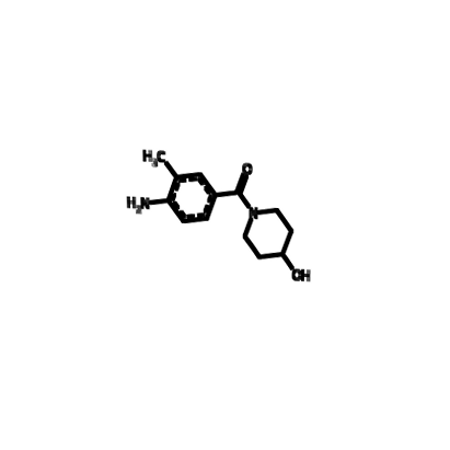 Cc1cc(C(=O)N2CCC(O)CC2)ccc1N